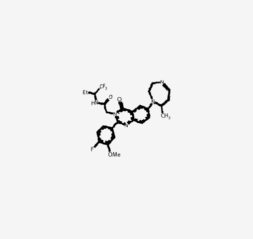 CCC(NC(=O)Cn1c(-c2ccc(F)c(OC)c2)nc2ccc(N3CCN=CCC3C)cc2c1=O)C(F)(F)F